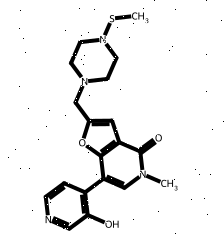 CSN1CCN(Cc2cc3c(=O)n(C)cc(-c4ccncc4O)c3o2)CC1